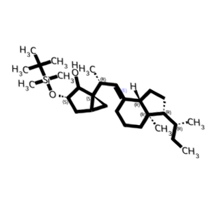 CC[C@@H](C)[C@H]1CC[C@H]2/C(=C/[C@@H](C)[C@]34CC3C[C@H](O[Si](C)(C)C(C)(C)C)C4O)CCC[C@]12C